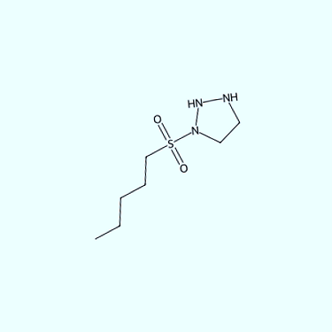 CCCCCS(=O)(=O)N1CCNN1